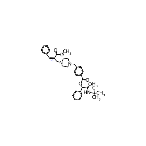 COC(=O)/C(=C\c1ccccc1)CN1CCN(Cc2ccc(C(=O)OC(C(=O)NC(C)(C)C)c3ccccc3)cc2)CC1